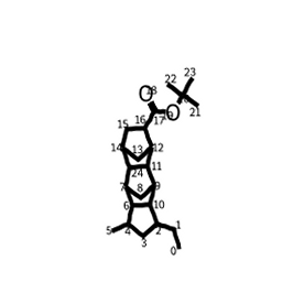 CCC1CC(C)C2C3CC(C12)C1C2CC(CC2C(=O)OC(C)(C)C)C31